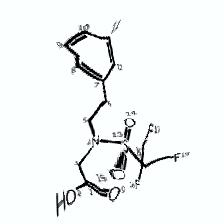 O=C(O)CN(CCc1ccccc1)S(=O)(=O)C(F)(F)F